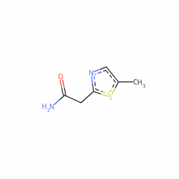 Cc1cnc(CC(N)=O)s1